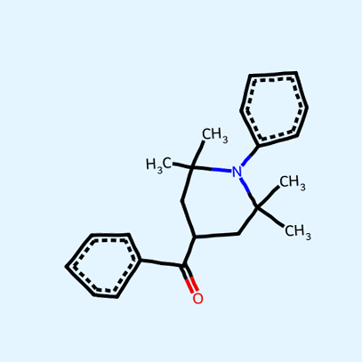 CC1(C)CC(C(=O)c2ccccc2)CC(C)(C)N1c1ccccc1